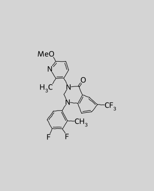 COc1ccc(N2CN(c3ccc(F)c(F)c3C)c3ccc(C(F)(F)F)cc3C2=O)c(C)n1